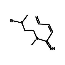 C=C/C=C\C(=N)N(C)CCN(C)CC